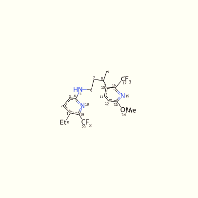 CCc1ccc(NCCC(C)c2ccc(OC)nc2C(F)(F)F)nc1C(F)(F)F